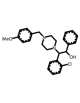 COc1ccc(CN2CCN(C(c3ccccc3Cl)C(O)c3ccccc3)CC2)cc1